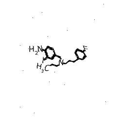 CCCN(CCCc1ccc(F)cc1)Cc1ccc(N)c(I)c1